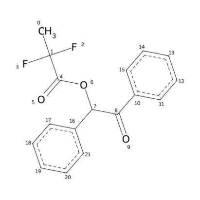 CC(F)(F)C(=O)OC(C(=O)c1ccccc1)c1ccccc1